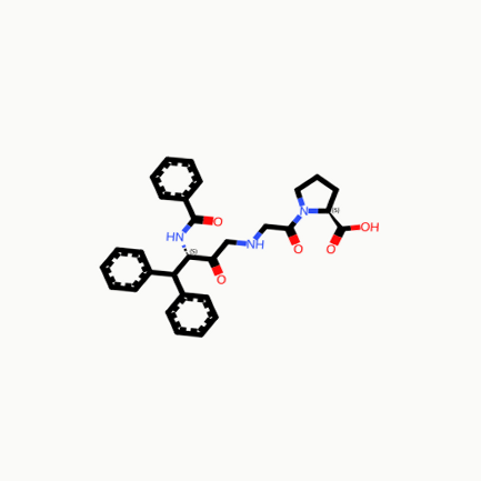 O=C(N[C@H](C(=O)CNCC(=O)N1CCC[C@H]1C(=O)O)C(c1ccccc1)c1ccccc1)c1ccccc1